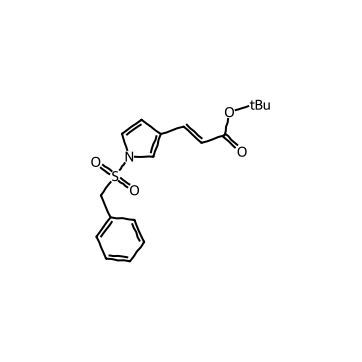 CC(C)(C)OC(=O)C=Cc1ccn(S(=O)(=O)Cc2ccccc2)c1